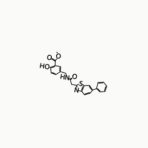 COC(=O)c1cc(CNC(=O)Cc2nc3ccc(-c4ccccc4)cc3s2)ccc1O